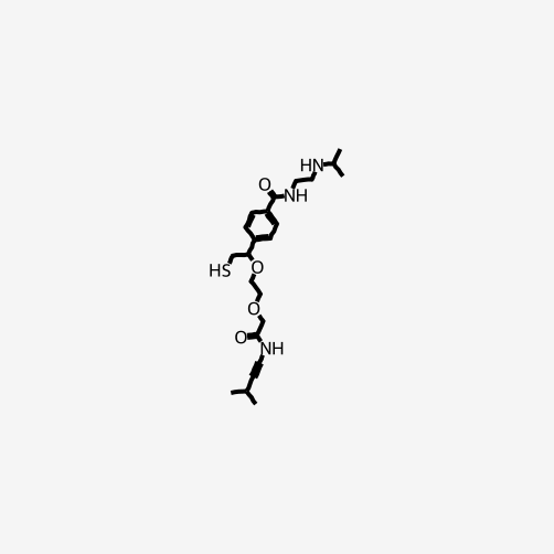 CC(C)C#CNC(=O)COCCOC(CS)c1ccc(C(=O)NCCNC(C)C)cc1